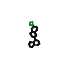 Clc1ccc2cc(-c3cccc4ccccc34)ccc2c1